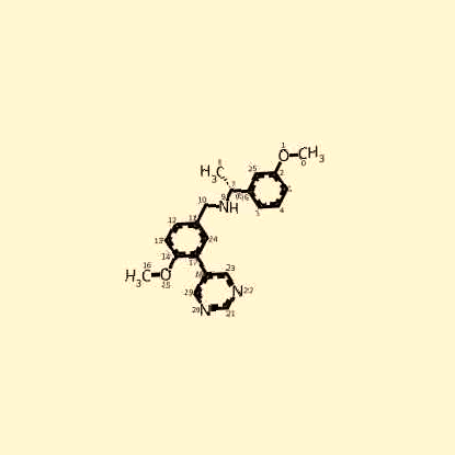 COc1cccc([C@@H](C)NCc2ccc(OC)c(-c3cncnc3)c2)c1